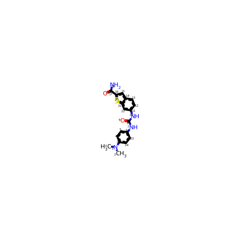 CN(C)c1ccc(NC(=O)Nc2ccc3cc(C(N)=O)sc3c2)cc1